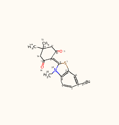 CCCCc1ccc2c(c1)SC(=C1C(=O)CC(C)(C)CC1=O)N2C